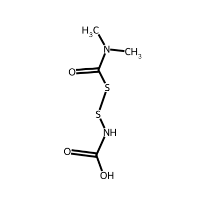 CN(C)C(=O)SSNC(=O)O